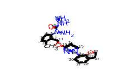 Cc1cccc(N(N)C(=O)NN)c1COc1ccn(-c2cccc3c2OCC3)n1